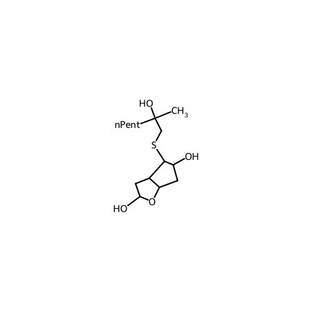 CCCCCC(C)(O)CSC1C(O)CC2OC(O)CC21